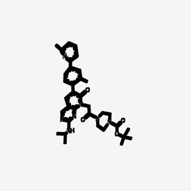 Cc1cccc(-c2ccc(-c3cc4cnc(NC(C)C)nc4n(CC(=O)N4CCN(C(=O)OC(C)(C)C)CC4)c3=O)c(C)c2)n1